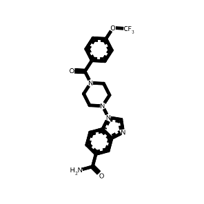 NC(=O)c1ccc2c(c1)ncn2N1CCN(C(=O)c2ccc(OC(F)(F)F)cc2)CC1